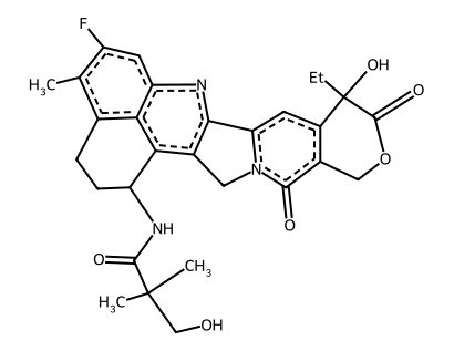 CCC1(O)C(=O)OCc2c1cc1n(c2=O)Cc2c-1nc1cc(F)c(C)c3c1c2C(NC(=O)C(C)(C)CO)CC3